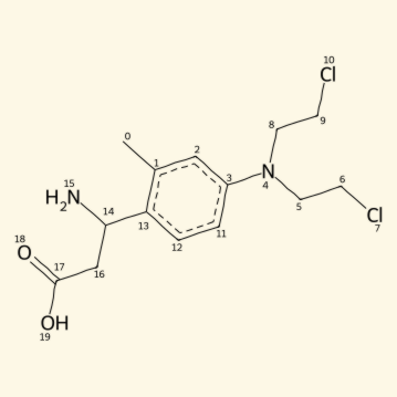 Cc1cc(N(CCCl)CCCl)ccc1C(N)CC(=O)O